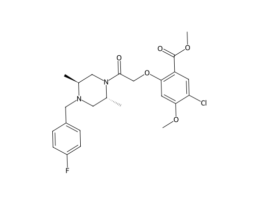 COC(=O)c1cc(Cl)c(OC)cc1OCC(=O)N1C[C@H](C)N(Cc2ccc(F)cc2)C[C@H]1C